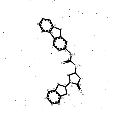 O=C(Nc1ccc2c(c1)Cc1ccccc1-2)OC1CC(=O)N(C2Cc3ccccc3C2)C1